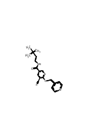 CC(C)(C)CCNC(=O)c1cnc(OCc2ccncc2)c(C#N)c1